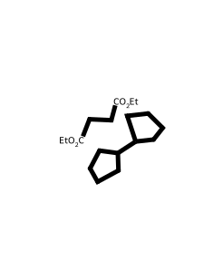 C1CCC(C2CCCC2)C1.CCOC(=O)CCC(=O)OCC